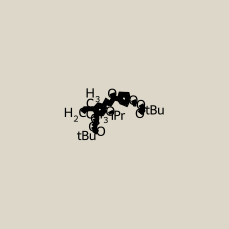 C=CC(C)(C)c1cc(/C=C/C(=O)c2ccc(OCOC(=O)C(C)(C)C)cc2)c(OC(C)C)cc1OCOC(=O)C(C)(C)C